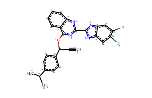 C#CC(Oc1nc(-c2nc3cc(F)c(Cl)cc3[nH]2)nc2ccccc12)c1ccc(C(C)C)cc1